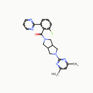 Cc1cc(C(=O)O)nc(N2CC3CN(C(=O)c4c(F)cccc4-c4ncccn4)CC3C2)n1